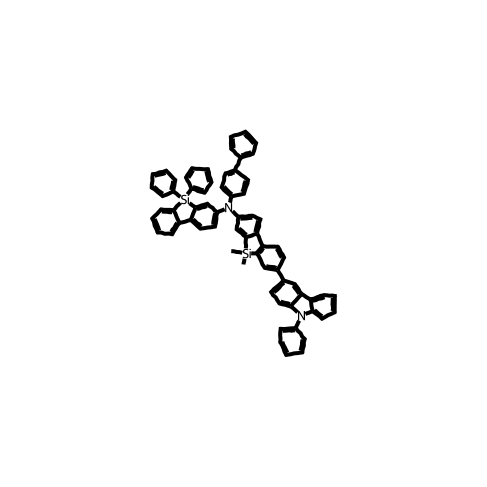 C[Si]1(C)c2cc(-c3ccc4c(c3)c3ccccc3n4-c3ccccc3)ccc2-c2ccc(N(c3ccc(-c4ccccc4)cc3)c3ccc4c(c3)[Si](c3ccccc3)(c3ccccc3)c3ccccc3-4)cc21